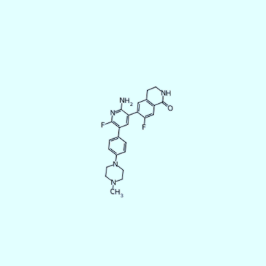 CN1CCN(c2ccc(-c3cc(-c4cc5c(cc4F)C(=O)NCC5)c(N)nc3F)cc2)CC1